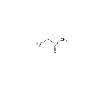 C[CH2][Sn]([CH3])=[O]